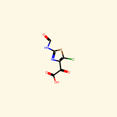 O=CNc1nc(C(=O)C(=O)O)c(Cl)s1